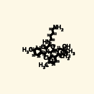 Cc1ccc([C@H](C)N(CC(=O)N(CC(C)(N)O)[C@@H](C)c2ccc(C)cc2)C(=O)CNCCCCN)cc1